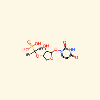 CC(C)C(O[C@H]1COC(On2ccc(=O)[nH]c2=O)[C@@H]1O)(C(C)C)P(=O)(O)O